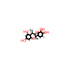 [2H]C1c2c(O)cc(O)cc2OC([2H])(c2ccc(O)c(O)c2)[C@@H]1O